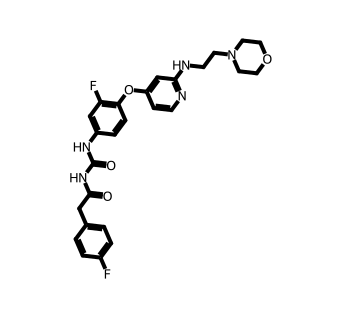 O=C(Cc1ccc(F)cc1)NC(=O)Nc1ccc(Oc2ccnc(NCCN3CCOCC3)c2)c(F)c1